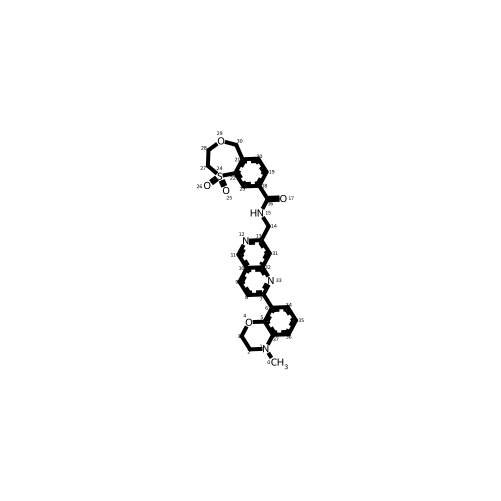 CN1CCOc2c(-c3ccc4cnc(CNC(=O)c5ccc6c(c5)S(=O)(=O)CCOC6)cc4n3)cccc21